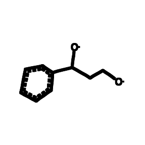 [O]CCC([O])c1ccccc1